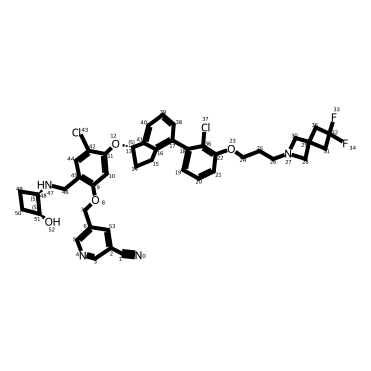 N#Cc1cncc(COc2cc(O[C@H]3CCc4c(-c5cccc(OCCCN6CC7(C6)CC(F)(F)C7)c5Cl)cccc43)c(Cl)cc2CN[C@H]2CC[C@@H]2O)c1